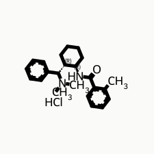 Cc1ccccc1C(=O)N[C@@H]1CCCC[C@H]1C(c1ccccc1)N(C)C.Cl